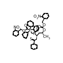 C[C@H](OC(=O)OCc1ccccc1[N+](=O)[O-])[C@H]1C(=O)N(CP(C(=O)OCc2ccccc2[N+](=O)[O-])(c2ccccc2)(c2ccccc2)c2ccccc2)[C@@H]1CC(=S)c1ccccc1